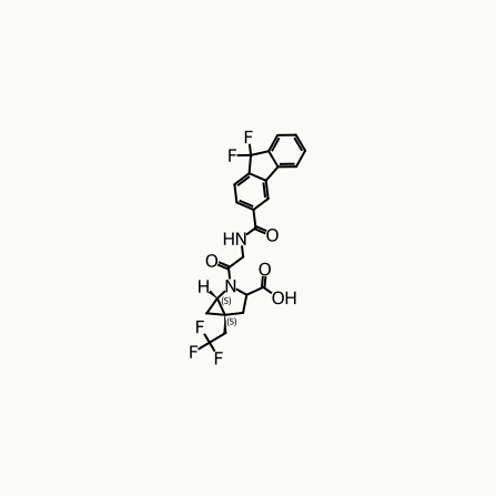 O=C(NCC(=O)N1C(C(=O)O)C[C@]2(CC(F)(F)F)C[C@H]12)c1ccc2c(c1)-c1ccccc1C2(F)F